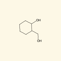 OCC1CCCCC1O